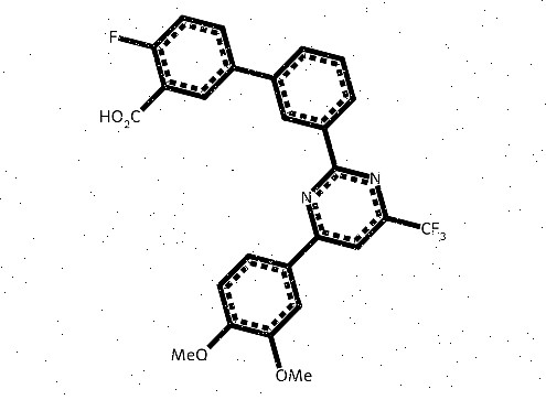 COc1ccc(-c2cc(C(F)(F)F)nc(-c3cccc(-c4ccc(F)c(C(=O)O)c4)c3)n2)cc1OC